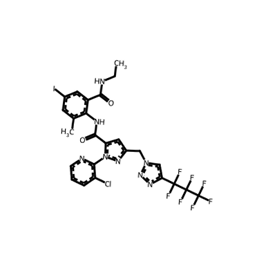 CCNC(=O)c1cc(I)cc(C)c1NC(=O)c1cc(Cn2cc(C(F)(F)C(F)(F)C(F)(F)F)nn2)nn1-c1ncccc1Cl